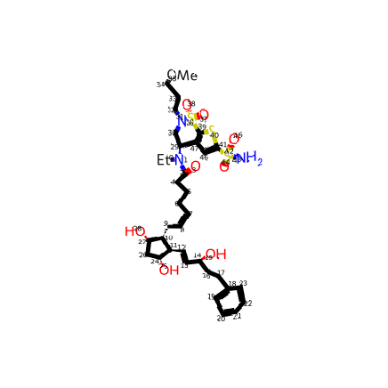 CCN(C(=O)CCC/C=C\C[C@@H]1[C@@H](/C=C/[C@@H](O)CCc2ccccc2)[C@H](O)C[C@@H]1O)[C@H]1CN(CCCOC)S(=O)(=O)c2sc(S(N)(=O)=O)cc21